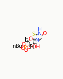 CCCCOP1(=O)OC[C@H]2O[C@@H](n3ccc(=O)[nH]c3=S)C(C)(O)[C@H]2O1